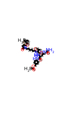 BC(=O)OCc1ccc(NC(=O)[C@H](CCCNC(N)=O)NC(=O)C(NC(=O)CCCCCN2C(=O)CC(SC(B)(CC)CC)C2=O)C(C)C)cc1